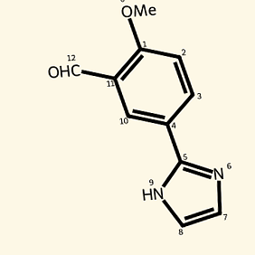 COc1ccc(-c2ncc[nH]2)cc1C=O